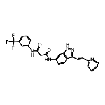 O=C(CC(=O)Nc1ccc2c(C=Cc3ccccn3)n[nH]c2c1)Nc1cccc(C(F)(F)F)c1